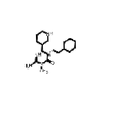 CN(C(=N)N)C(=O)[C@@H](CCC1CCCCC1)CC1CCCNC1